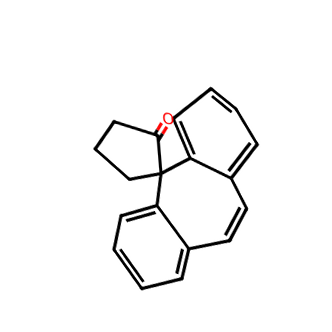 O=C1CCCC12c1ccccc1C=Cc1ccccc12